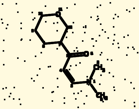 CN(C)/C=C\C(=O)C1CCCOC1